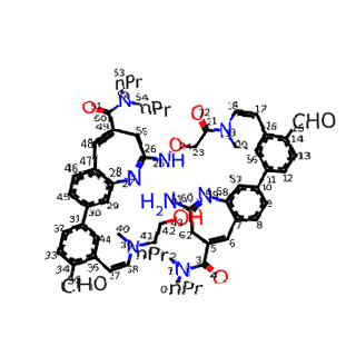 CCCN(CCC)C(=O)C1=Cc2ccc(-c3ccc(C=O)c(/C=C\N(C)C(=O)CONC4=Nc5cc(-c6ccc(C=O)c(/C=C\N(C)CCO)c6)ccc5C=C(C(=O)N(CCC)CCC)C4)c3)cc2N=C(N)C1